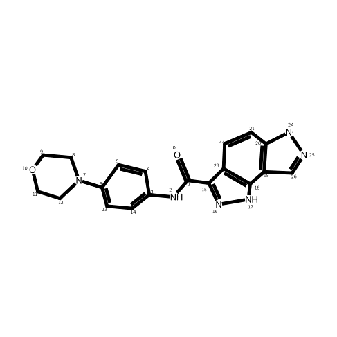 O=C(Nc1ccc(N2CCOCC2)cc1)c1n[nH]c2c3c(ccc12)[N]N=C3